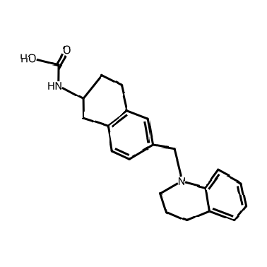 O=C(O)NC1CCc2cc(CN3CCCc4ccccc43)ccc2C1